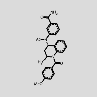 COc1ccc(C(=O)N2c3ccccc3[C@@H](N(C(C)=O)c3cccc(C(N)=O)c3)CC2C)cc1